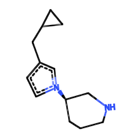 c1cn([C@@H]2CCCNC2)cc1CC1CC1